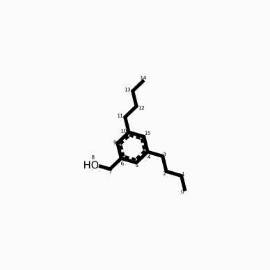 CCCCc1cc(CO)cc(CCCC)c1